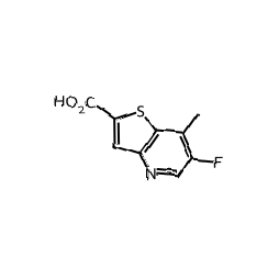 Cc1c(F)cnc2cc(C(=O)O)sc12